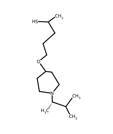 CC(S)CCCOC1CCN([C@@H](C)C(C)C)CC1